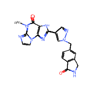 CCCn1c(=O)c2[nH]c(-c3cnn(Cc4ccc5c(c4)CNC5=O)c3)nc2n2ccnc12